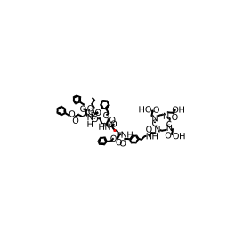 CCCCOP(=O)(N[C@@H](CCC(=O)OCc1ccccc1)C(=O)OCc1ccccc1)OCC[C@H](NC(=O)CC[C@@H](NC(=O)c1ccc(CCNC(=O)CN2CCN(CC(=O)O)CCN(CC(=O)O)CCN(CC(=O)O)CC2)cc1)C(=O)OCc1ccccc1)C(=O)OCc1ccccc1